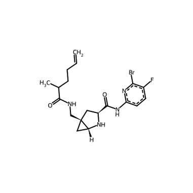 C=CCCC(C)C(=O)NC[C@@]12C[C@@H](C(=O)Nc3ccc(F)c(Br)n3)N[C@@H]1C2